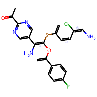 C=C(/C=C\C(Cl)=C/N)S/C(OC(=C)c1ccc(F)cc1)=C(/N)c1cnc(C(C)=O)nc1